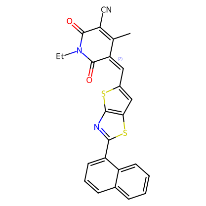 CCN1C(=O)C(C#N)=C(C)/C(=C/c2cc3sc(-c4cccc5ccccc45)nc3s2)C1=O